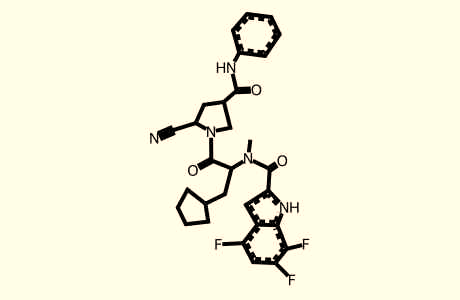 CN(C(=O)c1cc2c(F)cc(F)c(F)c2[nH]1)C(CC1CCCC1)C(=O)N1CC(C(=O)Nc2ccccc2)CC1C#N